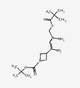 CC(C)(C)OC(=O)N1CC(/C(N)=C/N(N)COC(=O)C(C)(C)C)C1